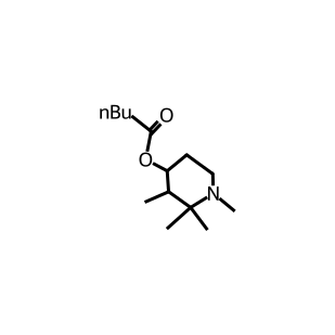 CCCCC(=O)OC1CCN(C)C(C)(C)C1C